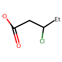 CCC(Cl)CC([O])=O